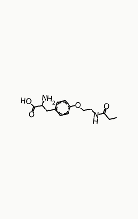 CCC(=O)NCCOc1ccc(C[C@H](N)C(=O)O)cc1